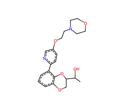 CC(O)C1COc2cccc(-c3ccc(OCCN4CCOCC4)cn3)c2O1